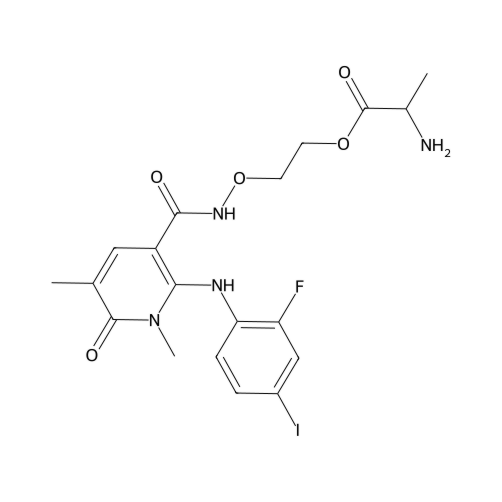 Cc1cc(C(=O)NOCCOC(=O)C(C)N)c(Nc2ccc(I)cc2F)n(C)c1=O